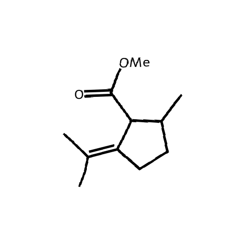 COC(=O)C1C(=C(C)C)CCC1C